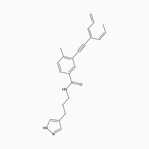 C=C/C=C(C#Cc1cc(C(=O)NCCCc2cn[nH]c2)ccc1C)\C=C/C